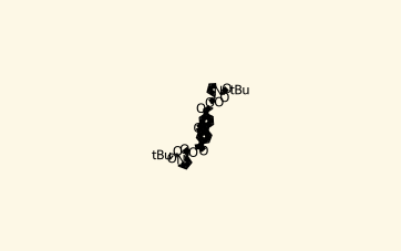 CC(C)(C)OC(=O)N1CCC[C@@H]1C(=O)OCC(=O)c1ccc2c(c1)oc1cc(C(=O)COC(=O)[C@@H]3CCCN3C(=O)OC(C)(C)C)ccc12